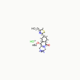 CCCCOc1c(CN)n(CC(C)C)c(=O)c2ccc(-c3nc(C(=O)O)cs3)cc12.Cl